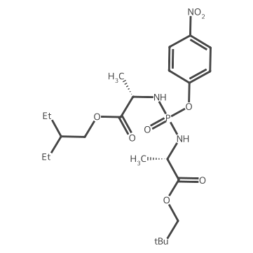 CCC(CC)COC(=O)[C@H](C)NP(=O)(N[C@@H](C)C(=O)OCC(C)(C)C)Oc1ccc([N+](=O)[O-])cc1